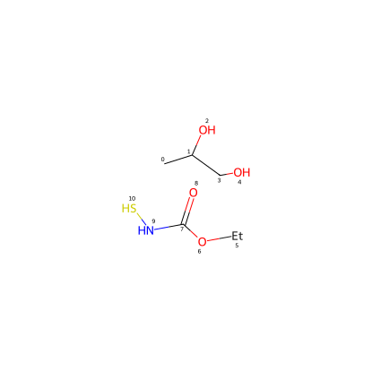 CC(O)CO.CCOC(=O)NS